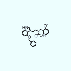 COc1ccccc1CN(CCc1c[nH]c2cccc(OCc3ccccc3)c12)C(=O)O